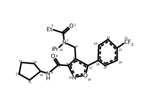 CCC(=O)N(Cc1c(C(=O)NC2CCCC2)noc1-c1ccc(C(F)(F)F)cc1)C(C)C